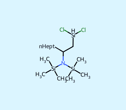 CCCCCCCC(C[SiH](Cl)Cl)N([Si](C)(C)C)[Si](C)(C)C